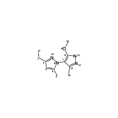 CCc1cc(C)n(C2=C(OC)[N]N=C2C)n1